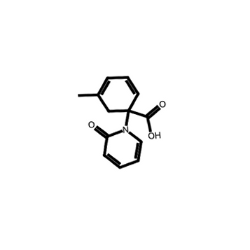 CC1=CC=CC(C(=O)O)(n2ccccc2=O)C1